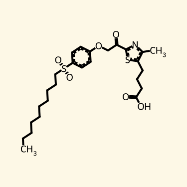 CCCCCCCCCCS(=O)(=O)c1ccc(OCC(=O)c2nc(C)c(CCCC(=O)O)s2)cc1